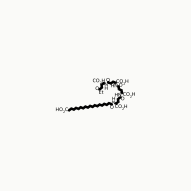 CCC(=O)CC[C@H](NC(=O)CC[C@H](NC(=O)CC[C@H](NC(=O)CC[C@H](NC(=O)CCCCCCCCCCCCCCCCCCC(=O)O)C(=O)O)C(=O)O)C(=O)O)C(=O)O